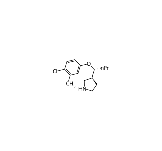 CCC[C@@H](Oc1ccc(Cl)c(C)c1)[C@H]1CCNC1